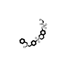 CCN(Cc1ccccc1)Cc1ccc(S(=O)(=O)N2CCc3ccc(OS(=O)(=O)NCC(C)C)cc3C2)cc1